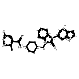 Cc1ncc(Cl)cc1C(=O)N[C@H]1CC[C@H](Cn2c(=O)n(-c3cnc4cc[nH]c4c3)c3ccccc32)CC1